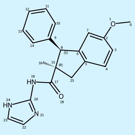 COc1ccc2c(c1)[C@H](c1ccccc1)[C@](C)(C(=O)Nc1ncc[nH]1)C2